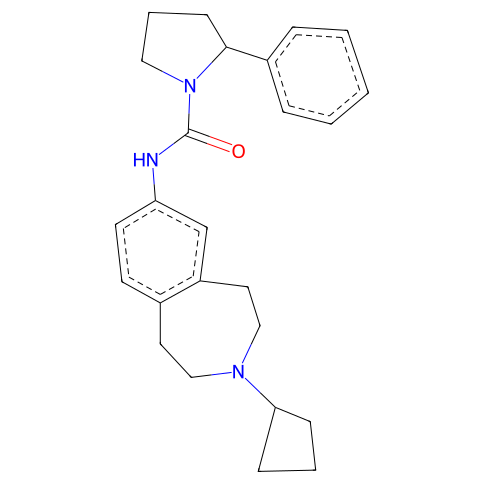 O=C(Nc1ccc2c(c1)CCN(C1CCC1)CC2)N1CCCC1c1ccccc1